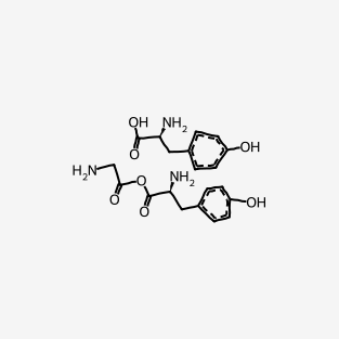 NCC(=O)OC(=O)[C@@H](N)Cc1ccc(O)cc1.N[C@@H](Cc1ccc(O)cc1)C(=O)O